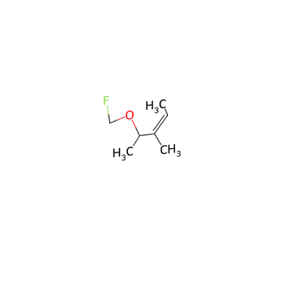 C/C=C(/C)C(C)OCF